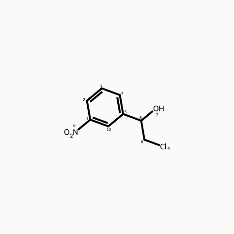 O=[N+]([O-])c1cccc(C(O)CCl)c1